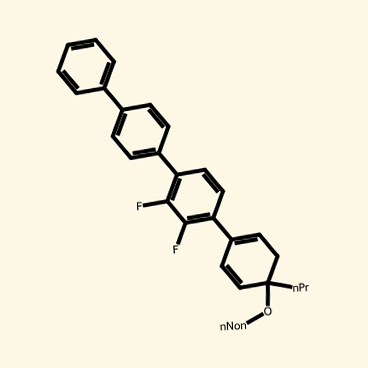 CCCCCCCCCOC1(CCC)C=CC(c2ccc(-c3ccc(-c4ccccc4)cc3)c(F)c2F)=CC1